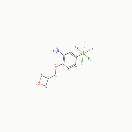 Nc1cc(S(F)(F)(F)(F)F)ccc1OCC1COC1